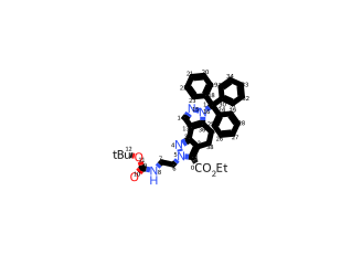 CCOC(=O)c1c2c(nn1CCNC(=O)OC(C)(C)C)-c1cnn(C(c3ccccc3)(c3ccccc3)c3ccccc3)c1CC2